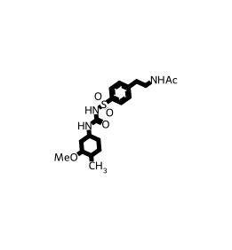 COC1CC(NC(=O)NS(=O)(=O)c2ccc(CCNC(C)=O)cc2)CCC1C